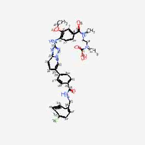 COc1cc(C(=O)N(C)CCN(C)C(=O)O)ccc1Nc1nc2ccc(-c3ccc(C(=O)NCc4ccc(F)cc4)cc3)cn2n1